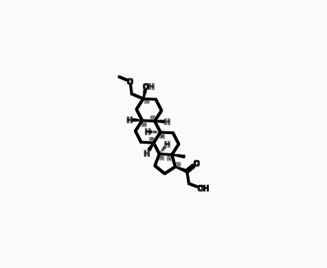 COC[C@]1(O)CC[C@H]2[C@H](CC[C@@H]3[C@@H]2CC[C@]2(C)[C@@H](C(=O)CO)CC[C@@H]32)C1